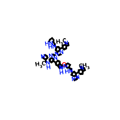 CC(Nc1cc(-c2ccc3c(c2)CNC3=O)c2nccnc2c1)c1cccnc1.Cn1ccc2ccc(-c3cc(NCC4CCCCN4)cc4nccnc34)cc21.Cn1ccc2ccc(-c3cc(NCC4CCCNC4)cc4nccnc34)cc21